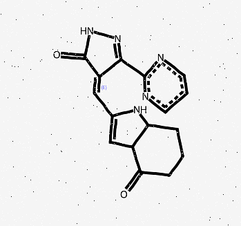 O=C1NN=C(c2ncccn2)/C1=C\C1=CC2C(=O)CCCC2N1